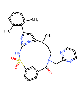 Cc1cccc(C)c1-c1cc2nc(n1)NS(=O)(=O)c1cccc(c1)C(=O)N(Cc1ncccn1)CCC2C